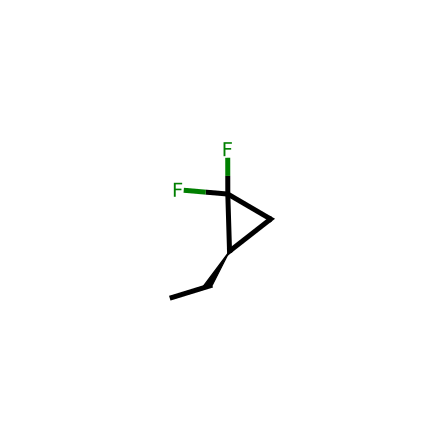 CC[C@@H]1CC1(F)F